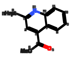 CCCCCCCc1cc(C(=O)OC)c2ccccc2n1